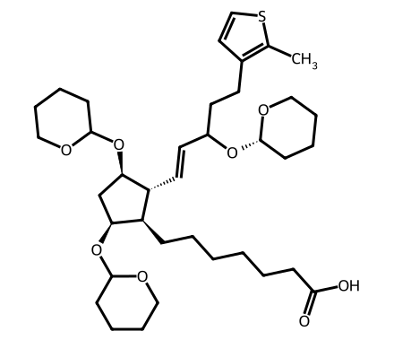 Cc1sccc1CCC(/C=C/[C@@H]1[C@@H](CCCCCCC(=O)O)[C@@H](OC2CCCCO2)C[C@H]1OC1CCCCO1)O[C@H]1CCCCO1